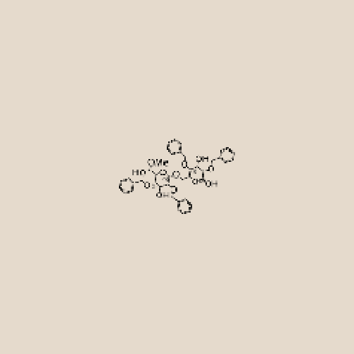 COC(O)C1O[C@H](OCC2O[C@H](O)C(OCc3ccccc3)C(O)[C@@H]2OCc2ccccc2)C(OCc2ccccc2)C(O)[C@@H]1OCc1ccccc1